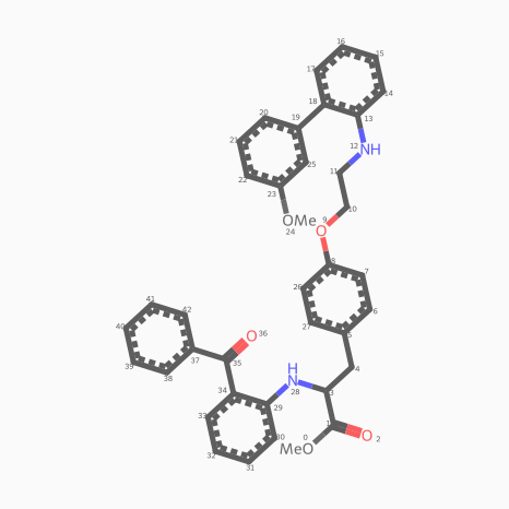 COC(=O)C(Cc1ccc(OCCNc2ccccc2-c2cccc(OC)c2)cc1)Nc1ccccc1C(=O)c1ccccc1